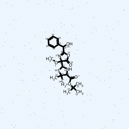 COC1(C2NC(C(=O)OC(C)(C)C)C(C)(C)S2)N=C(C(O)c2ccccc2)OC1=O